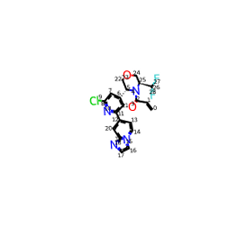 C=CC(=O)N1[C@H](c2cc(Cl)nc(-c3ccn4ccnc4c3)c2)COC[C@H]1C(F)F